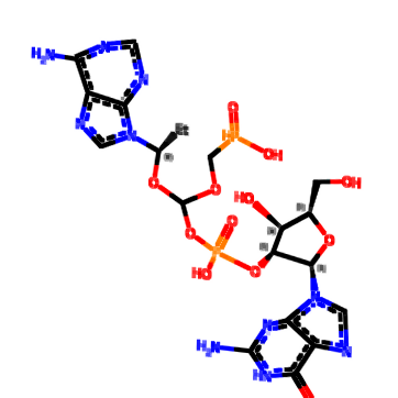 CC[C@@H](OC(OC[PH](=O)O)OP(=O)(O)O[C@H]1[C@@H](O)[C@@H](CO)O[C@H]1n1cnc2c(=O)[nH]c(N)nc21)n1cnc2c(N)ncnc21